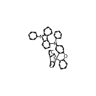 c1ccc(N(c2ccc3c(c2)[Si]2(c4ccccc4O3)c3ccccc3-c3ccccc32)c2cccc3c2c2ccccc2n3-c2ccccc2)cc1